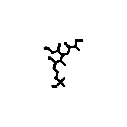 CCC(=CCO[Si](C)(C)C(C)(C)C)C(C)N(CC(=O)N(C)OC)C(=O)OC(C)(C)C